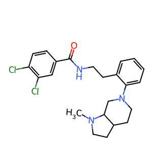 CN1CCC2CCN(c3ccccc3CCNC(=O)c3ccc(Cl)c(Cl)c3)CC21